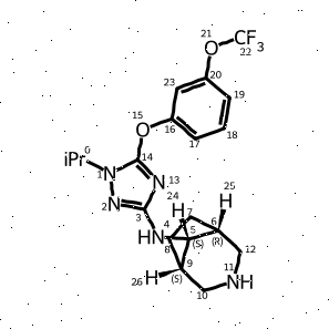 CC(C)n1nc(N[C@@H]2[C@@H]3CC[C@H]2CNC3)nc1Oc1cccc(OC(F)(F)F)c1